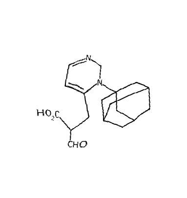 O=CC(CC1=CC=NCN1C12CC3CC(CC(C3)C1)C2)C(=O)O